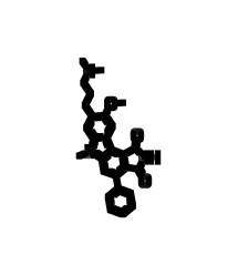 COc1cc2c3c4c(c(-c5ccccc5)cc3n(C)c2cc1CCCN(C)C)C(=O)NC4=O